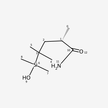 C[C@@H](CC(C)(C)[Si](C)(C)O)C(N)=O